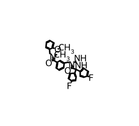 COc1ccccc1CN(C)C(=O)c1cccc(CN2C(=N)NC(c3ccc(F)cc3)(c3ccc(F)cc3)C2=O)c1